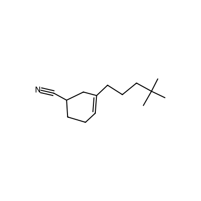 CC(C)(C)CCCC1=CCCC(C#N)C1